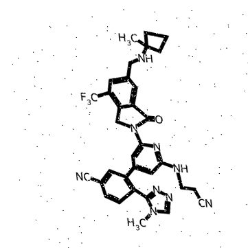 Cn1cnnc1-c1ccc(C#N)cc1-c1cc(NCCC#N)nc(N2Cc3c(cc(CNC4(C)CCC4)cc3C(F)(F)F)C2=O)c1